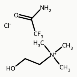 C[N+](C)(C)CCO.NC(=O)C(F)(F)F.[Cl-]